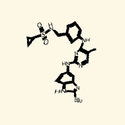 Cc1cnc(Nc2ccc3[nH]c(C(C)(C)C)nc3c2)nc1Nc1cccc(CNS(=O)(=O)C2CC2)c1